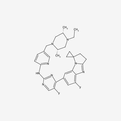 CCN1C[C@H](C)N(Cc2ccc(Nc3ncc(F)c(-c4cc(F)c5nc6n(c5c4)C4(CC6)CC4)n3)nc2)C[C@@H]1C